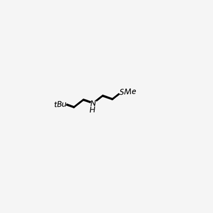 CSCCNCCC(C)(C)C